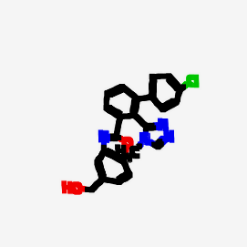 Cn1cnnc1-c1c(-c2ccc(Cl)cc2)cccc1-c1nc2cc(CO)ccc2o1